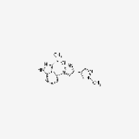 CC(C)c1n[nH]c2nccc(-n3cnc(-c4cnn(C)c4)c3)c12